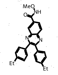 CCc1ccc(-c2nc3ccc(C(=O)NOC)cc3nc2-c2ccc(CC)cc2)cc1